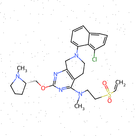 C=CS(=O)(=O)CCN(C)c1nc(OC[C@@H]2CCCN2C)nc2c1CCN(c1cccc3cccc(Cl)c13)C2